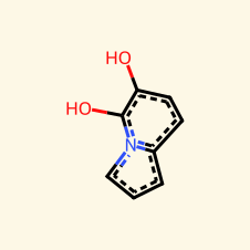 Oc1ccc2cccn2c1O